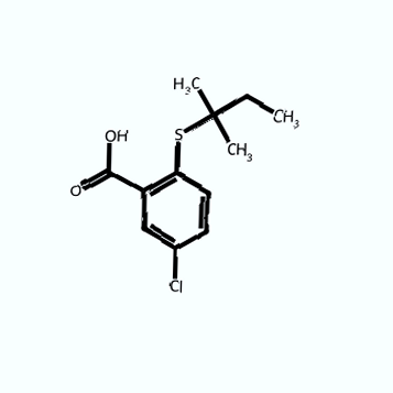 CCC(C)(C)Sc1ccc(Cl)cc1C(=O)O